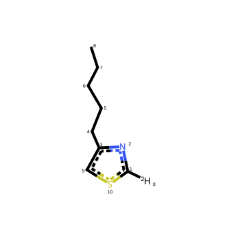 [2H]c1nc(CCCCC)cs1